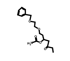 CCC(=O)CC(CCOCCOCc1ccccc1)OC(N)=O